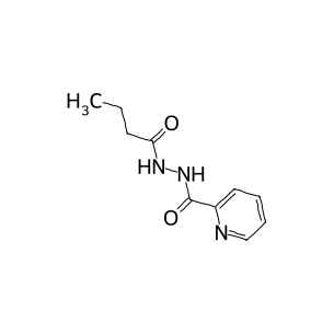 CCCC(=O)NNC(=O)c1ccccn1